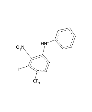 O=[N+]([O-])c1c(Nc2ccccc2)ccc(C(F)(F)F)c1I